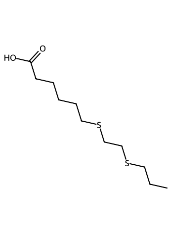 CCCSCCSCCCCCC(=O)O